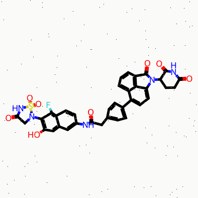 O=C1CCC(N2C(=O)c3cccc4c(-c5ccc(CC(=O)Nc6ccc7c(F)c(N8CC(=O)NS8(=O)=O)c(O)cc7c6)cc5)ccc2c34)C(=O)N1